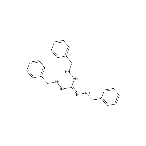 c1ccc(CNN=C(NNCc2ccccc2)NNCc2ccccc2)cc1